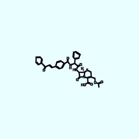 CC(=O)OCC1=C(C(=O)O)N2C(=O)[C@@H](NC(=O)C(NC(=O)c3ccc(C=CC(=O)c4ccccc4)cc3)c3ccccc3)[C@H]2SC1